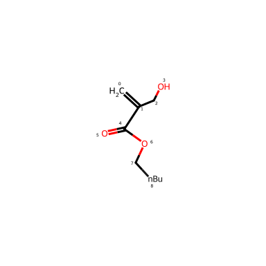 C=C(CO)C(=O)OCCCCC